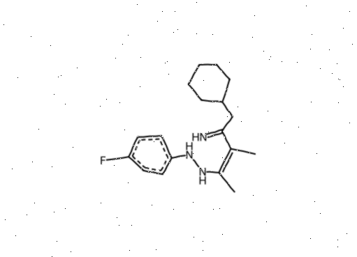 CC(NNc1ccc(F)cc1)=C(C)C(=N)CC1CCCCC1